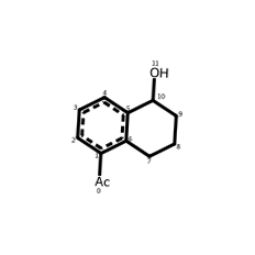 CC(=O)c1cccc2c1CCCC2O